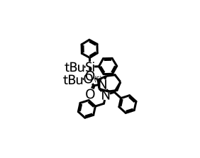 CC(C)(C)OC(=O)N1C2CC3CC1[C@H](O[Si](c1ccccc1)(c1ccccc1)C(C)(C)C)C2N(Cc1ccccc1)C3c1ccccc1